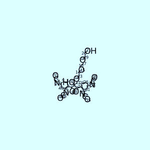 O=C=Nc1ccc(C(=O)C(O)(COCCOCCOCCO)C(=O)c2ccc(N=C=O)cc2N=C=O)c(N=C=O)c1